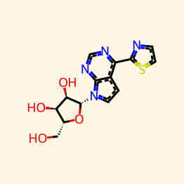 OC[C@H]1O[C@@H](n2ccc3c(-c4nccs4)ncnc32)[C@H](O)[C@@H]1O